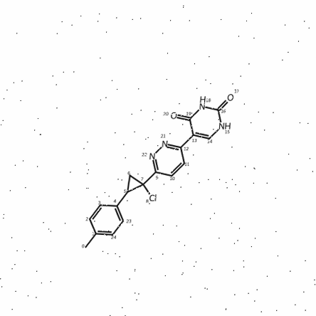 Cc1ccc(C2CC2(Cl)c2ccc(-c3c[nH]c(=O)[nH]c3=O)nn2)cc1